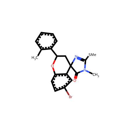 CSC1=NC2(CC(c3ccccc3C)Oc3ccc(Br)cc32)C(=O)N1C